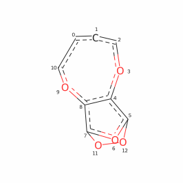 c1ccoc2c3oc(c2oc1)OO3